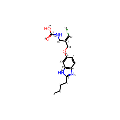 CCCCc1nc2ccc(OC/C(=C/F)CNC(=O)O)cc2[nH]1